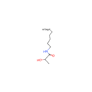 CCCCCCCCCCCCNC(=O)C(C)O